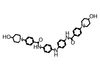 O=C(Nc1ccc(Nc2ccc(NC(=O)c3ccc(N4CCC(O)CC4)cc3)cc2)cc1)c1ccc(N2CCC(O)CC2)cc1